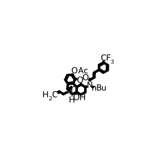 C=CCN1CC[C@]23c4c5ccc(OC(C)=O)c4OC2C(N(CCCC)C(=O)/C=C/c2cccc(C(F)(F)F)c2)CC[C@@]3(O)[C@H]1C5